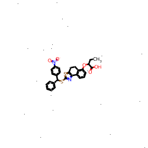 CCC(Oc1cccc2c1CCc1sc(SC(c3ccccc3)c3ccc([N+](=O)[O-])cc3)nc1-2)C(=O)O